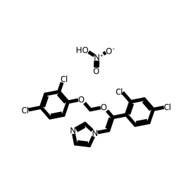 Clc1ccc(OCOC(=Cn2ccnc2)c2ccc(Cl)cc2Cl)c(Cl)c1.O=[N+]([O-])O